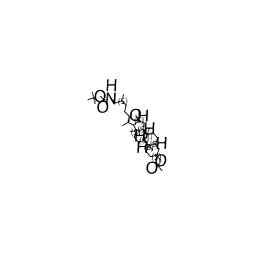 CC(=O)O[C@H]1CC[C@@]2(C)[C@@H](CC[C@@H]3[C@@H]2CC[C@]2(C)C4C(C)=C(CC[C@H](C)CNC(=O)OC(C)(C)C)O[C@H]4C[C@@H]32)C1